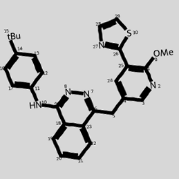 COc1ncc(Cc2nnc(Nc3ccc(C(C)(C)C)cc3)c3ccccc23)cc1-c1nccs1